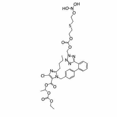 CCCCc1nc(Cl)c(C(=O)OC(C)OC(=O)OCC)n1Cc1ccc(-c2ccccc2-c2nnn(COC(=O)OCCSCCON(O)O)n2)cc1